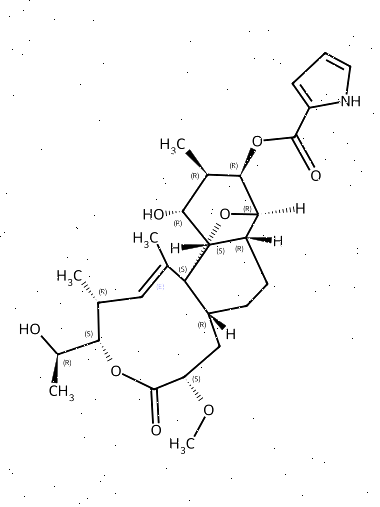 CO[C@H]1C[C@H]2CC[C@H]3[C@H]4O[C@]2(/C(C)=C/[C@@H](C)[C@@H]([C@@H](C)O)OC1=O)[C@@H]3[C@H](O)[C@@H](C)[C@H]4OC(=O)c1ccc[nH]1